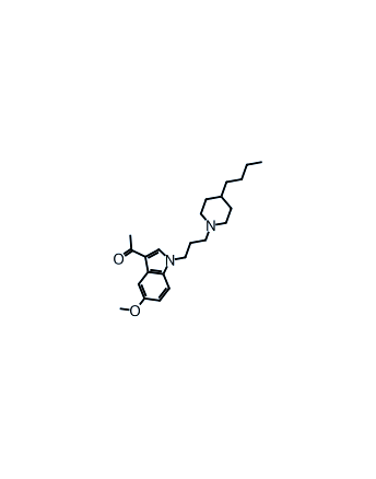 CCCCC1CCN(CCCn2cc(C(C)=O)c3cc(OC)ccc32)CC1